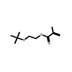 C=C(C)C(=O)OCCSC(C)(C)C